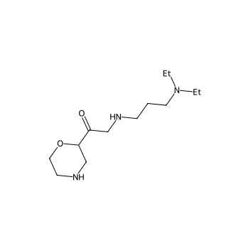 CCN(CC)CCCNCC(=O)C1CNCCO1